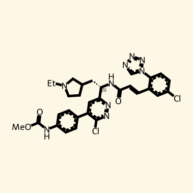 CCN1CCC(C[C@H](NC(=O)C=Cc2cc(Cl)ccc2-n2cnnn2)c2cc(-c3ccc(NC(=O)OC)cc3)c(Cl)nn2)C1